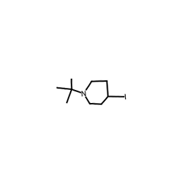 CC(C)(C)N1CCC(I)CC1